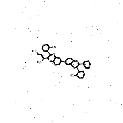 C=C/C=C(\C)c1nc2ccc(-c3ccc4nc(-c5ccccc5)c(-c5ccccc5C#N)nc4c3)cc2nc1-c1ccccc1C#N